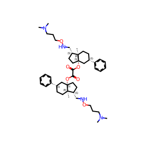 CN(C)CCCONC[C@H]1CC[C@]2(OC(=O)C(=O)O[C@]34CC[C@H](CNOCCCN(C)C)[C@@]3(C)CC[C@H](c3ccccc3)C4)C[C@@H](c3ccccc3)CC[C@]12C